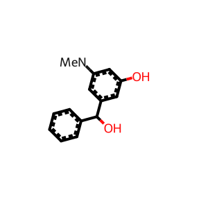 CNc1cc(O)cc(C(O)c2ccccc2)c1